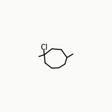 CC1CCCCC(C)(Cl)CC1